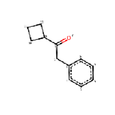 O=C(Cc1ccccc1)C1CCC1